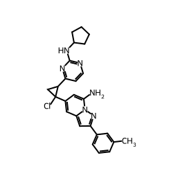 Cc1cccc(-c2cc3cc(C4(Cl)CC4c4ccnc(NC5CCCC5)n4)cc(N)n3n2)c1